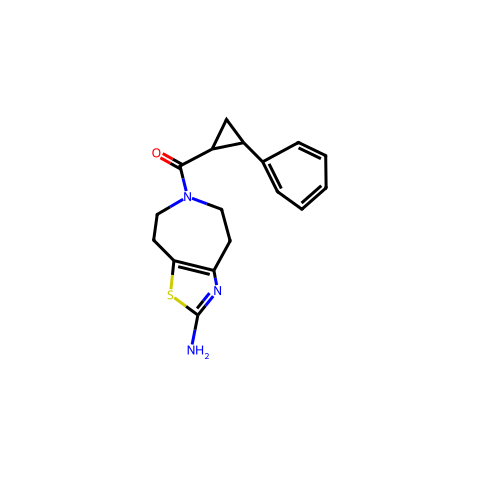 Nc1nc2c(s1)CCN(C(=O)C1CC1c1ccccc1)CC2